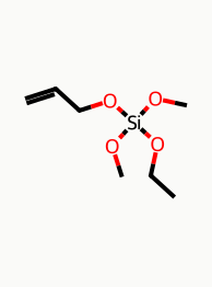 C=CCO[Si](OC)(OC)OCC